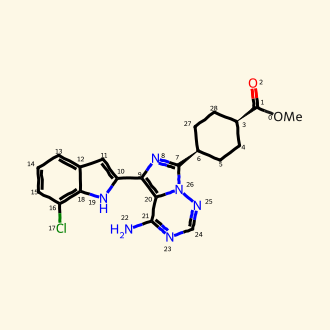 COC(=O)[C@H]1CC[C@@H](c2nc(-c3cc4cccc(Cl)c4[nH]3)c3c(N)ncnn32)CC1